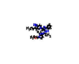 C=C(Nc1c(C)c(N2CCC(=N)/C(=C\CCCC)C2)nn1-c1ccccc1)N[C@H]1CCN(CCOC)C1